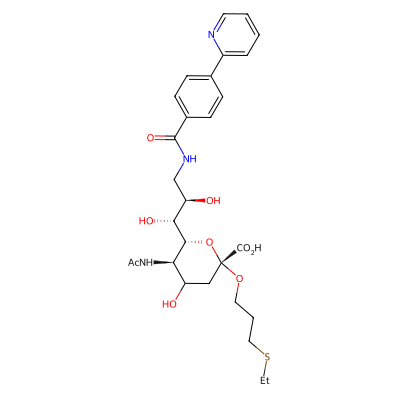 CCSCCCO[C@]1(C(=O)O)CC(O)[C@@H](NC(C)=O)[C@H]([C@H](O)[C@H](O)CNC(=O)c2ccc(-c3ccccn3)cc2)O1